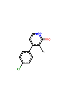 CC(=O)c1c(-c2ccc(Cl)cc2)cc[nH]c1=O